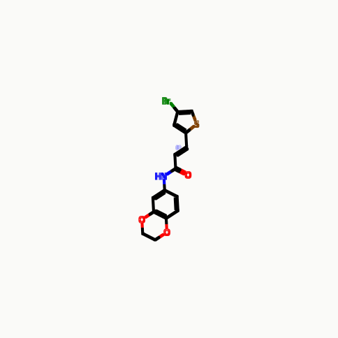 O=C(/C=C/c1cc(Br)cs1)Nc1ccc2c(c1)OCCO2